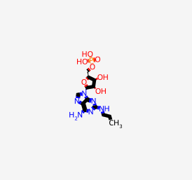 CCCNc1nc(N)c2ncn([C@@H]3O[C@H](COP(=O)(O)O)[C@@H](O)[C@H]3O)c2n1